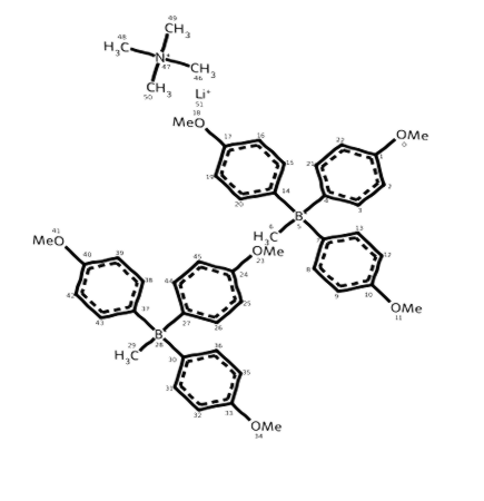 COc1ccc([B-](C)(c2ccc(OC)cc2)c2ccc(OC)cc2)cc1.COc1ccc([B-](C)(c2ccc(OC)cc2)c2ccc(OC)cc2)cc1.C[N+](C)(C)C.[Li+]